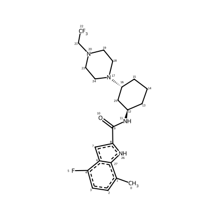 Cc1ccc(F)c2cc(C(=O)N[C@@H]3CCC[C@@H](N4CCN(CC(F)(F)F)CC4)C3)[nH]c12